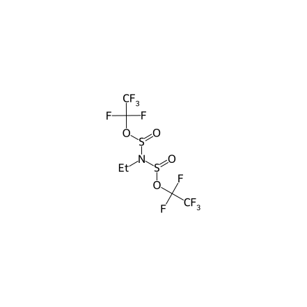 CCN(S(=O)OC(F)(F)C(F)(F)F)S(=O)OC(F)(F)C(F)(F)F